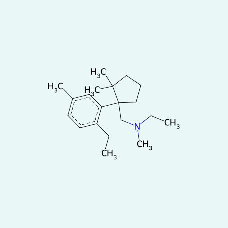 CCc1ccc(C)cc1C1(CN(C)CC)CCCC1(C)C